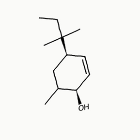 CCC(C)(C)[C@H]1C=C[C@@H](O)C(C)C1